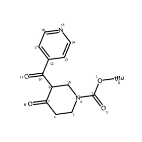 CC(C)(C)OC(=O)N1CCC(=O)C(C(=O)c2ccncc2)C1